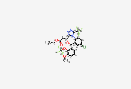 CCOC(=O)CC1OC(c2cccc(OC)c2OC(F)(F)F)c2cc(Cl)ccc2-n2c1nnc2C(F)(F)F